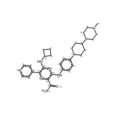 CN1CCN(C2CCN(c3ccc(Nc4nc(NC5CCC5)c(-c5ccncc5)nc4C(N)=O)cc3)CC2)CC1